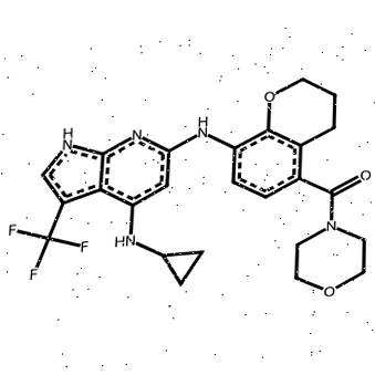 O=C(c1ccc(Nc2cc(NC3CC3)c3c(C(F)(F)F)c[nH]c3n2)c2c1CCCO2)N1CCOCC1